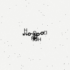 O=C(CCc1ccc(CNC2CC2)cc1)Nc1ccc(-c2ccc(Cl)cc2)cc1.O=C(O)C(F)(F)F